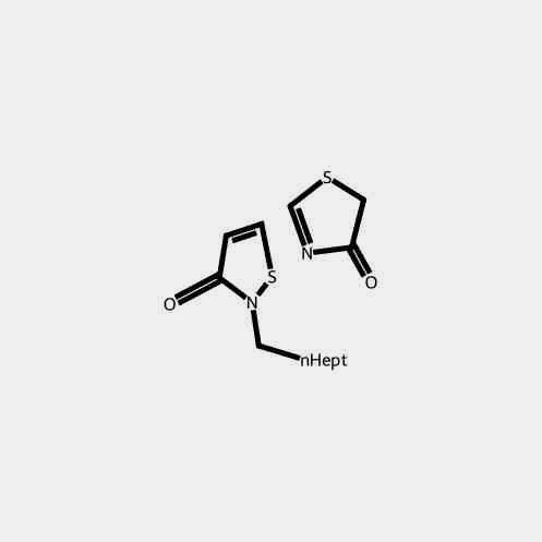 CCCCCCCCn1sccc1=O.O=C1CSC=N1